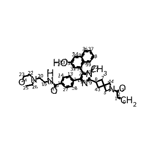 C=CC(=O)N1CC2(CC(c3nc(-c4ccc(C(=O)NCCN5CCOCC5)cc4)c(-c4cc(O)cc5ccccc45)n3C)C2)C1